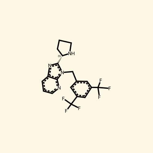 FC(F)(F)c1cc(Cn2c([C@@H]3CCCN3)nc3cccnc32)cc(C(F)(F)F)c1